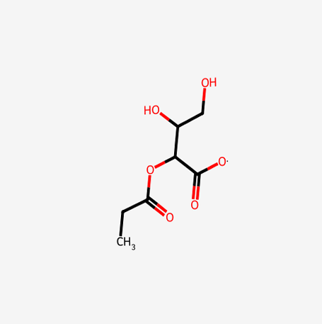 CCC(=O)OC(C([O])=O)C(O)CO